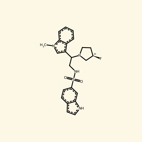 Cn1cc(C(CNS(=O)(=O)c2ccc3cc[nH]c3c2)N2CC[C@@H](F)C2)c2ccccc21